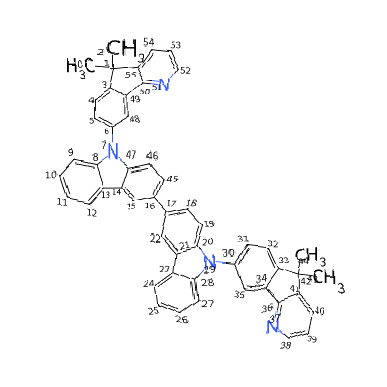 CC1(C)c2ccc(-n3c4ccccc4c4cc(-c5ccc6c(c5)c5ccccc5n6-c5ccc6c(c5)-c5ncccc5C6(C)C)ccc43)cc2-c2ncccc21